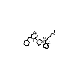 CNCC(CC1CCCCC1)NC(=O)N1CCC[C@@H]([C@@](O)(CCCCOC)c2ccccc2Cl)C1